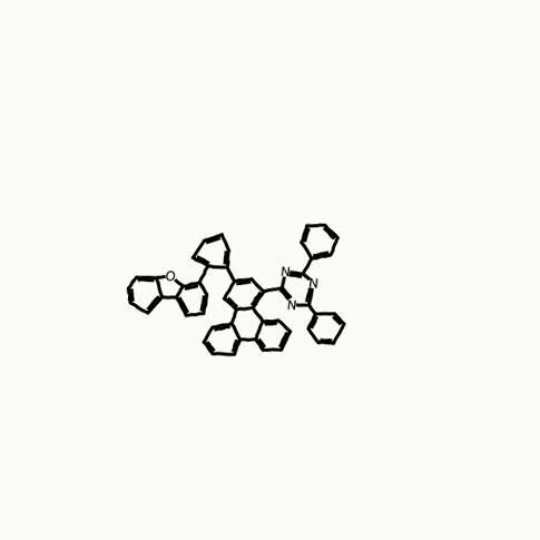 c1ccc(-c2nc(-c3ccccc3)nc(-c3cc(-c4ccccc4-c4cccc5c4oc4ccccc45)cc4c5ccccc5c5ccccc5c34)n2)cc1